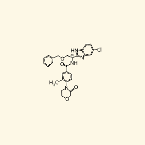 Cc1cc(C(=O)N[C@@H](COCc2ccccc2)c2nc3cc(Cl)ccc3[nH]2)ccc1N1CCOCC1=O